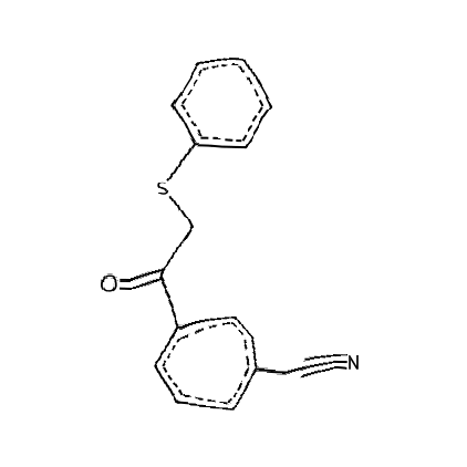 N#Cc1cccc(C(=O)CSc2ccccc2)c1